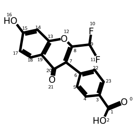 O=C(O)c1ccc(-c2c(C(F)F)oc3cc(O)ccc3c2=O)cc1